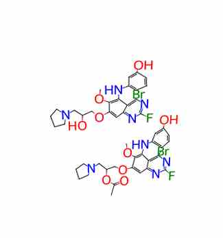 COc1c(OCC(CN2CCCC2)OC(C)=O)cc2nc(F)nc(Br)c2c1Nc1cccc(O)c1.COc1c(OCC(O)CN2CCCC2)cc2nc(F)nc(Br)c2c1Nc1cccc(O)c1